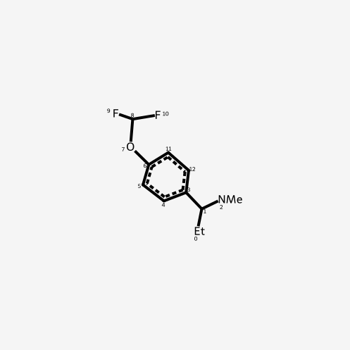 CCC(NC)c1ccc(OC(F)F)cc1